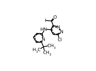 CC(C)(C)c1cccc(Nc2cc(Cl)nnc2C(=O)I)n1